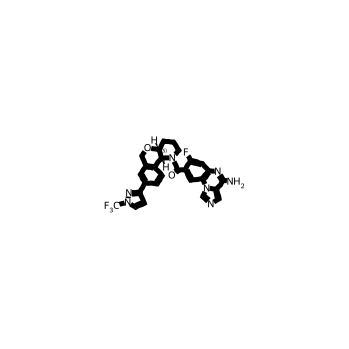 Nc1nc2cc(F)c(C(=O)N3CCC[C@@H]4OCc5cc(-c6ccn(C(F)(F)F)n6)ccc5[C@@H]43)cc2n2cncc12